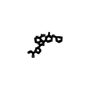 C=CC(=O)N1CCN(c2nc(-c3ccc(Oc4ccccc4)c(C)c3)c3c(N)nccn23)C1